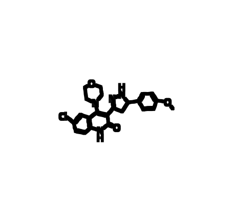 COc1ccc(C2CC(c3c(N4CCOCC4)c4cc(Cl)ccc4[nH]c3=O)=NN2)cc1